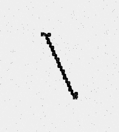 CC(C)C(=O)CCOCCOCCOCCOCCOCCOCCOCCOCCOCCC(=O)C(C)C